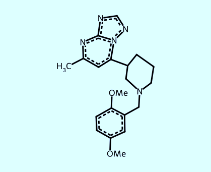 COc1ccc(OC)c(CN2CCCC(c3cc(C)nc4ncnn34)C2)c1